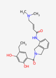 CCc1cc(C(=O)N2Cc3cccc(NC(=O)/C=C/CN(C)C)c3C2)c(O)cc1O